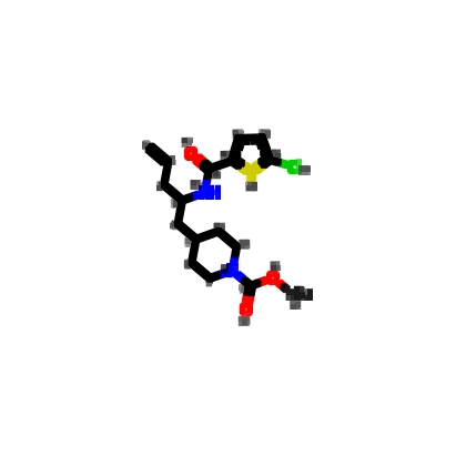 C=CCC(CC1CCN(C(=O)OCCCC)CC1)NC(=O)c1ccc(Cl)s1